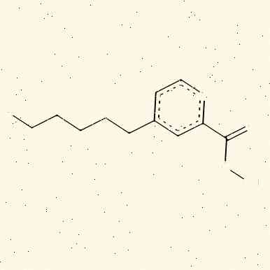 COC(=O)c1cc(CCCCCF)ccn1